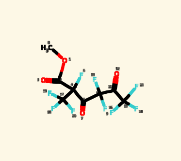 COC(=O)C(F)(C(=O)C(F)(F)C(=O)C(F)(F)F)C(F)(F)F